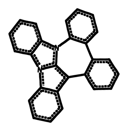 c1ccc2c(c1)-c1ccccc1-n1c3ccccc3n3c4ccccc4c-2c13